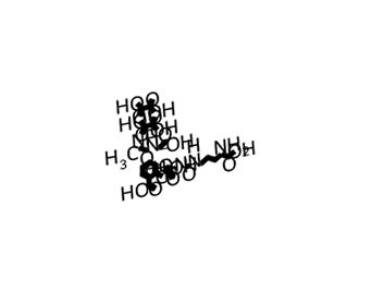 CC(N)C(=O)NCC(=O)O.NC(=O)NCCCC(N)C(=O)O.O=C(O)C(=O)O.O=C(O)C(=O)O.O=C(O)c1ccccc1OP(=O)(O)O